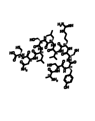 CC(C)C[C@H](NC(=O)[C@H](CO)NC(=O)[C@H](CC(C)C)NC(=O)[C@@H](NC(=O)[C@H](CCCNC(=N)N)NC(=O)[C@H](CS)NC(=O)[C@H](Cc1ccc(O)cc1)NC(=O)[C@H](CS)NC(=O)[C@H](C)N)C(C)C)C(=O)N[C@@H](CC(N)=O)C(=O)N[C@@H](CS)C(=O)O